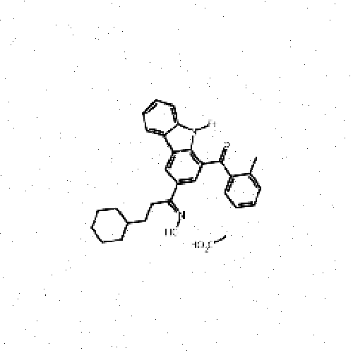 CC(=O)O.CCn1c2ccccc2c2cc(C(CCC3CCCCC3)=NO)cc(C(=O)c3ccccc3C)c21